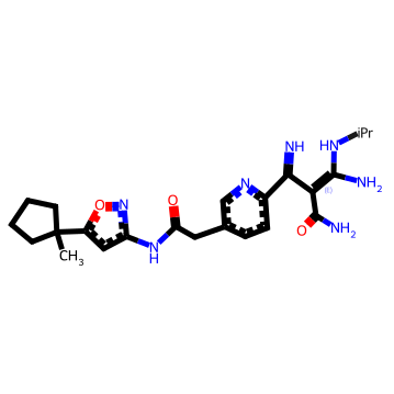 CC(C)N/C(N)=C(\C(=N)c1ccc(CC(=O)Nc2cc(C3(C)CCCC3)on2)cn1)C(N)=O